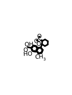 Cc1ccc(C2(Oc3ccc(O)c(C(=O)O)c3)CCCCC2=S(=O)=O)cc1